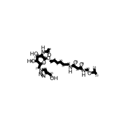 CC(=O)NC1C(OCCCCCCNC(=O)CC(=O)NCOC(C)C)OC(Cn2cc(CO)nn2)C(O)C1O